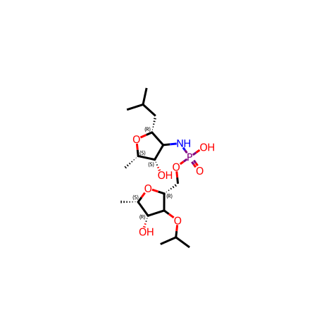 CC(C)C[C@H]1O[C@@H](C)[C@@H](O)C1NP(=O)(O)OC[C@H]1O[C@@H](C)[C@@H](O)C1OC(C)C